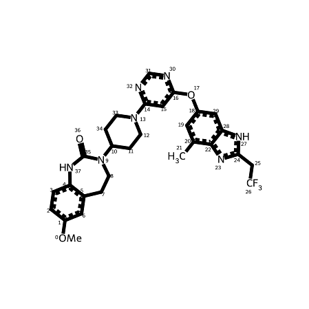 COc1ccc2c(c1)CCN(C1CCN(c3cc(Oc4cc(C)c5nc(CC(F)(F)F)[nH]c5c4)ncn3)CC1)C(=O)N2